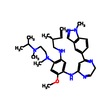 C=C[C@H](C)CNc1cc(NC2=CC(c3ccc4c(cnn4C)c3)=NCC=N2)c(OC)cc1N(C)CCN(C)C(C)C